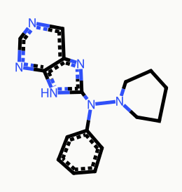 c1ccc(N(c2nc3cncnc3[nH]2)N2CCCCC2)cc1